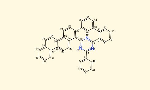 c1ccc(-c2nc(-c3ccccc3-c3ccccc3)nc(-c3cccc4c3ccc3c5ccccc5ccc43)n2)cc1